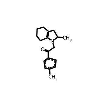 Cc1ccc(C(=O)CN2C3=C(CCCC3)CC2C)cc1